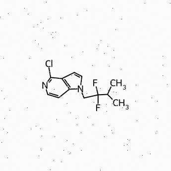 CC(C)C(F)(F)Cn1ccc2c(Cl)nccc21